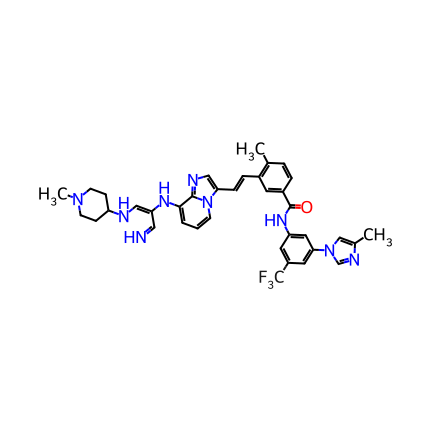 Cc1cn(-c2cc(NC(=O)c3ccc(C)c(C=Cc4cnc5c(N/C(C=N)=C/NC6CCN(C)CC6)cccn45)c3)cc(C(F)(F)F)c2)cn1